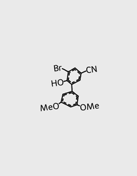 COc1cc(OC)cc(-c2cc(C#N)cc(Br)c2O)c1